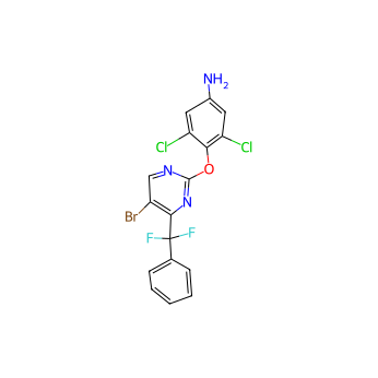 Nc1cc(Cl)c(Oc2ncc(Br)c(C(F)(F)c3ccccc3)n2)c(Cl)c1